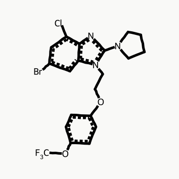 FC(F)(F)Oc1ccc(OCCn2c(N3CCCC3)nc3c(Cl)cc(Br)cc32)cc1